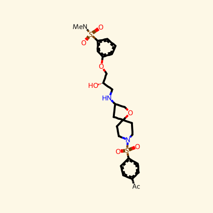 CNS(=O)(=O)c1cccc(OC[C@@H](O)CNC2COC3(CCN(S(=O)(=O)c4ccc(C(C)=O)cc4)CC3)C2)c1